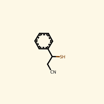 N#CCC(S)c1ccccc1